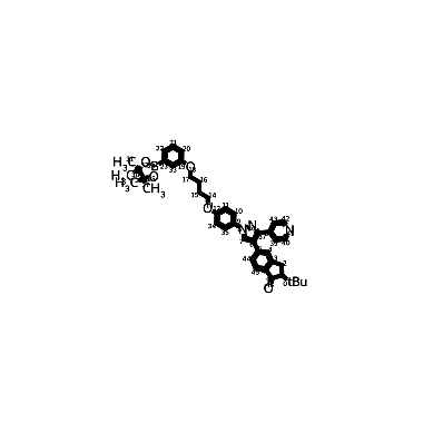 CC(C)(C)C1Cc2cc(-c3cn(-c4ccc(OCCCCOc5cccc(B6OC(C)(C)C(C)(C)O6)c5)cc4)nc3-c3ccncc3)ccc2C1=O